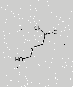 OCCCP(Cl)Cl